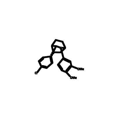 COc1ccc(N2C3CCC(C(=O)C3)C2c2ccc(Cl)cc2)cc1OC